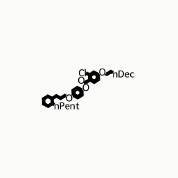 CCCCCCCCCCCCOc1ccc(C(=O)Oc2ccc(OCCCC3CCCCC3CCCCC)cc2)c(Cl)c1